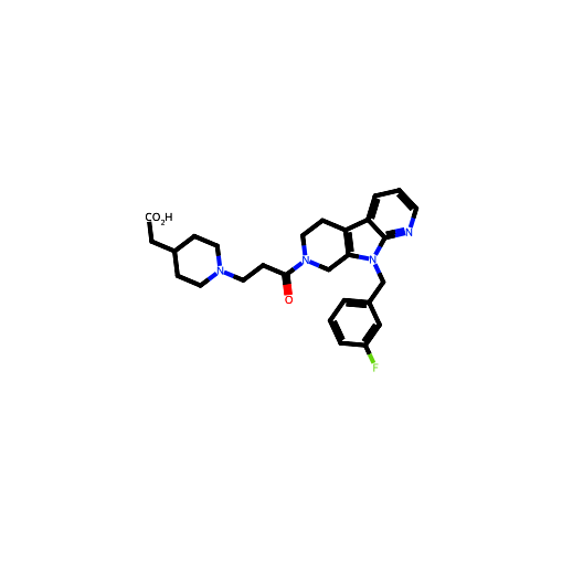 O=C(O)CC1CCN(CCC(=O)N2CCc3c(n(Cc4cccc(F)c4)c4ncccc34)C2)CC1